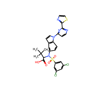 CC(C)(C)C(C(=O)O)N(c1ccc2c(ccn2-c2ccnc(-c3nccs3)n2)c1)S(=O)(=O)c1cc(Cl)cc(Cl)c1